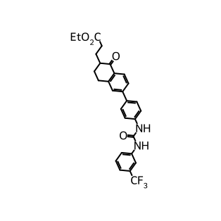 CCOC(=O)CCC1CCc2cc(-c3ccc(NC(=O)Nc4cccc(C(F)(F)F)c4)cc3)ccc2C1=O